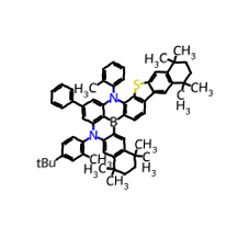 Cc1cc(C(C)(C)C)ccc1N1c2cc3c(cc2B2c4ccc5c(sc6cc7c(cc65)C(C)(C)CCC7(C)C)c4N(c4ccccc4C)c4cc(-c5ccccc5)cc1c42)C(C)(C)CCC3(C)C